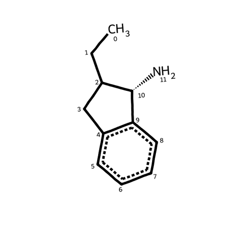 CCC1Cc2ccccc2[C@H]1N